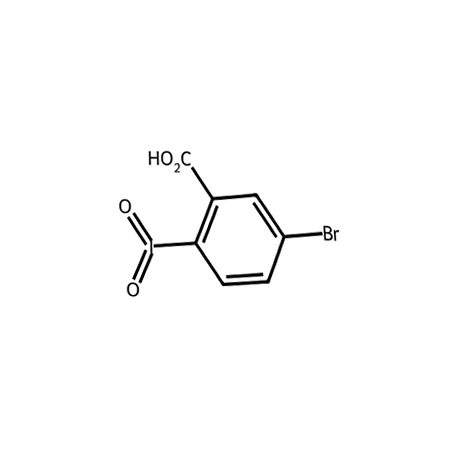 O=C(O)c1cc(Br)ccc1I(=O)=O